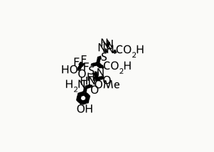 CO[C@@]1(NC(=O)C(N)c2ccc(O)cc2)C(=O)N2C(C(=O)O)=C(CSc3nnnn3CC(=O)O)CS[C@@H]21.O=C(O)C(F)(F)F